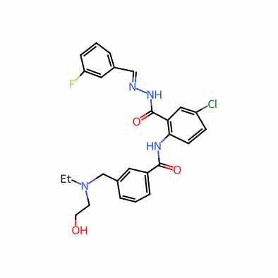 CCN(CCO)Cc1cccc(C(=O)Nc2ccc(Cl)cc2C(=O)NN=Cc2cccc(F)c2)c1